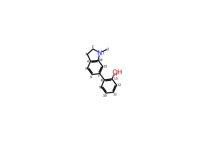 CN1CCc2ccc(-c3[c]cccc3O)cc21